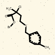 Cc1ccc(CSCCC(C)(Cl)C(=O)OBr)cc1